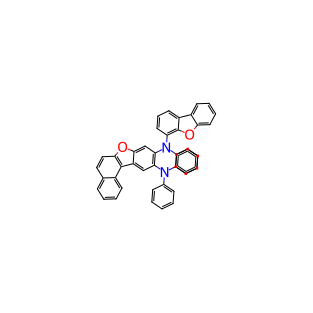 c1ccc(N(c2ccccc2)c2cc3c(cc2N(c2ccccc2)c2cccc4c2oc2ccccc24)oc2ccc4ccccc4c23)cc1